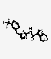 O=C(Nc1ncc(Cc2cccc(C(F)(F)F)c2)s1)c1csc2c1CCOC2